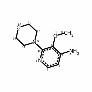 COc1c(N)ccnc1N1CCOCC1